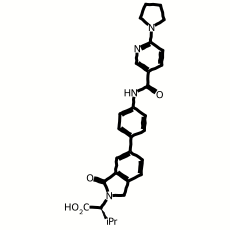 CC(C)[C@@H](C(=O)O)N1Cc2ccc(-c3ccc(NC(=O)c4ccc(N5CCCC5)nc4)cc3)cc2C1=O